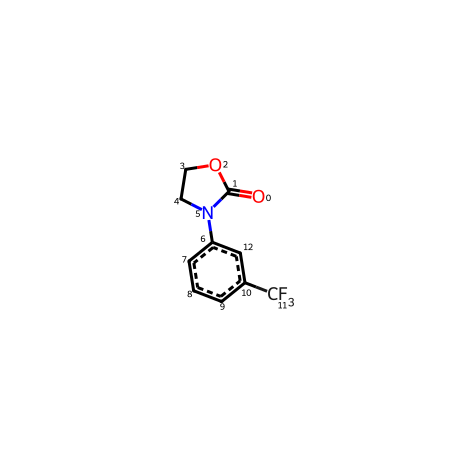 O=C1OCCN1c1cccc(C(F)(F)F)c1